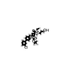 CCOC(=O)[C@]1(COCCCO)C[C@@](Cc2ccc(-c3cccc(Cl)c3)cc2)(NC(=O)OC(C)(C)C)C1